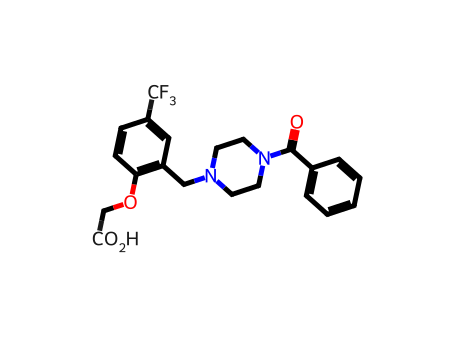 O=C(O)COc1ccc(C(F)(F)F)cc1CN1CCN(C(=O)c2ccccc2)CC1